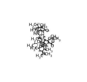 C=CCO[C@](C)(C[C@@H](C)CN[C@H](C)[C@H]1NC(=O)O[C@]1(C)[C@H](O)CC)[C@H](O[C@@H]1OC(C)CC(N(C)C)C1C)[C@@H](C)C1=C(C)C(=O)OC(C)(C)O1